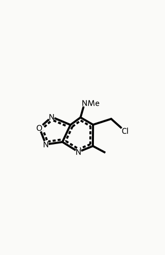 CNc1c(CCl)c(C)nc2nonc12